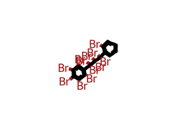 Brc1ccccc1C(Br)(Br)C(Br)(Br)C(Br)(Br)c1c(Br)c(Br)c(Br)c(Br)c1Br